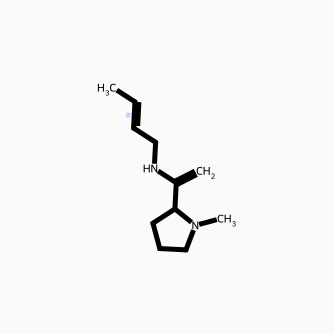 C=C(NC/C=C/C)C1CCCN1C